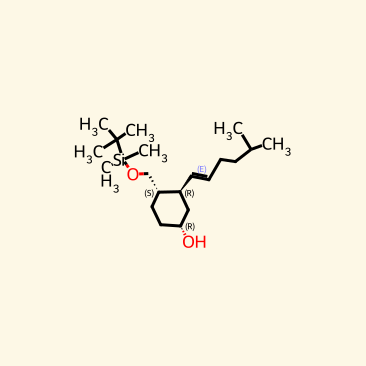 CC(C)CC/C=C/[C@H]1C[C@H](O)CC[C@@H]1CO[Si](C)(C)C(C)(C)C